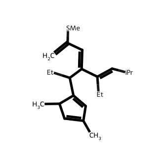 C=C(/C=C(/C(=C/C(C)C)CC)C(CC)C1=CC(C)=CC1C)SC